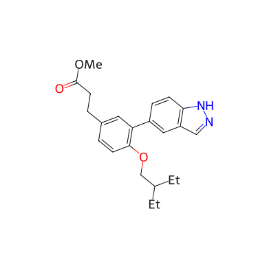 CCC(CC)COc1ccc(CCC(=O)OC)cc1-c1ccc2[nH]ncc2c1